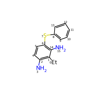 CCc1c(N)ccc(Sc2ccccc2)c1N